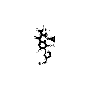 COc1c(N2CC[C@@H](CN)C2)c(F)cc2c(=O)c3c(=O)[nH]sc3n(C3CC3)c12